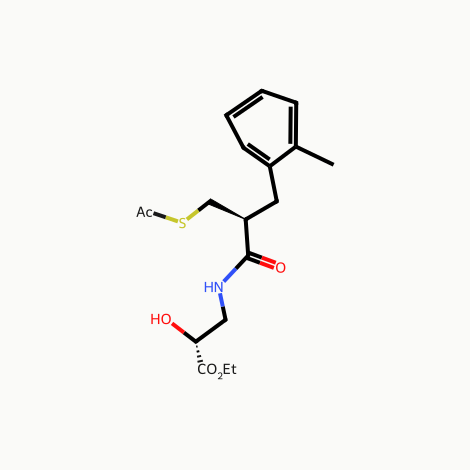 CCOC(=O)[C@H](O)CNC(=O)[C@@H](CSC(C)=O)Cc1ccccc1C